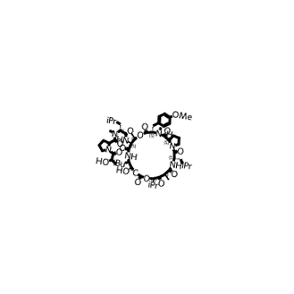 CCC(C)C1NC(=O)[C@@H](NC(=O)[C@@H](CC(C)C)N(C)C(=O)C2CCCN2C(=O)C(C)O)[C@@H](C)OC(=O)[C@H](Cc2ccc(OC)cc2)N(C)C(=O)[C@@H]2CCCN2C(=O)[C@H](CC(C)C)NC(=O)[C@@H](C)C(=O)[C@H](C(C)C)OC(=O)C[C@@H]1O